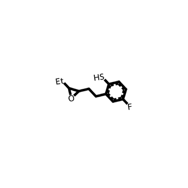 CCC1OC1CCc1cc(F)ccc1S